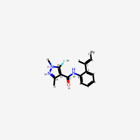 C/C(=C\C(C)C)c1ccccc1NC(=O)c1c(C)nn(C)c1F